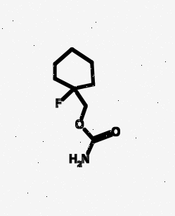 NC(=O)OCC1(F)CCCCC1